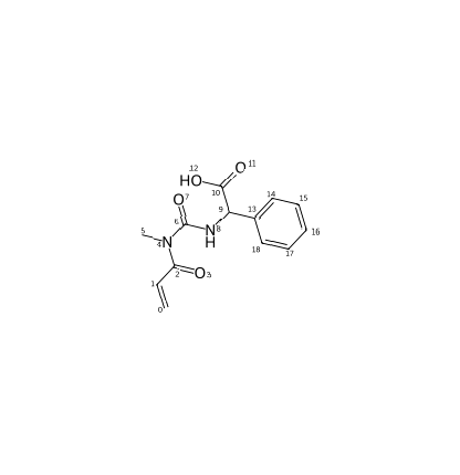 C=CC(=O)N(C)C(=O)NC(C(=O)O)c1ccccc1